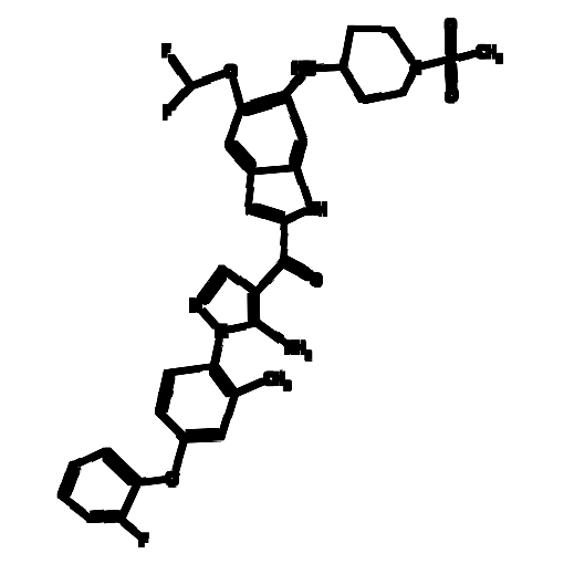 Cc1cc(Oc2ccccc2F)ccc1-n1ncc(C(=O)c2cc3cc(OC(F)F)c(NC4CCN(S(C)(=O)=O)CC4)cc3[nH]2)c1N